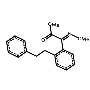 CO/N=C(/C(=O)OC)c1ccccc1CCc1ccccc1